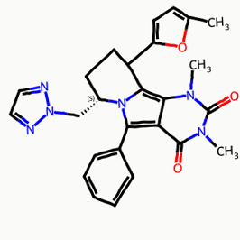 Cc1ccc(C2CC[C@@H](Cn3nccn3)n3c(-c4ccccc4)c4c(=O)n(C)c(=O)n(C)c4c32)o1